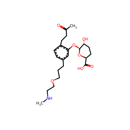 CNCCOCCCc1ccc(CCC(C)=O)c(O[C@@H]2OC(C(=O)O)CC[C@H]2O)c1